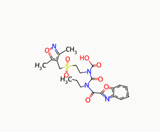 CCCN(C(=O)c1nc2ccccc2o1)C(=O)N(CCS(=O)(=O)Cc1c(C)noc1C)C(=O)O